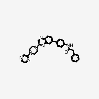 O=C(Cc1ccccc1)Nc1ccc(-c2ccc3ncc(N4CCN(c5cnccn5)CC4)nc3c2)cc1